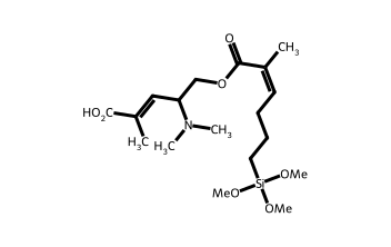 CO[Si](CCCC=C(C)C(=O)OCC(C=C(C)C(=O)O)N(C)C)(OC)OC